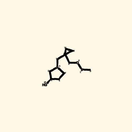 CSOCC1(CN2CC[C@@H](O)C2)CC1